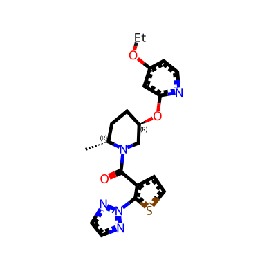 CCOc1ccnc(O[C@@H]2CC[C@@H](C)N(C(=O)c3ccsc3-n3nccn3)C2)c1